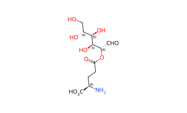 N[C@H](CCC(=O)O[C@@H](C=O)[C@@H](O)[C@H](O)[C@H](O)CO)C(=O)O